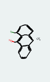 C.Oc1c2ccccc2cc2cccc(Cl)c12